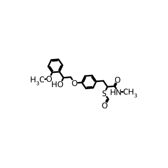 CNC(=O)C(Cc1ccc(OCC(O)c2ccccc2OC)cc1)SC=O